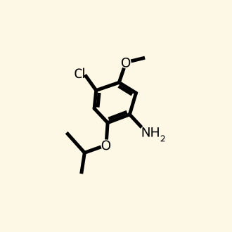 COc1cc(N)c(OC(C)C)cc1Cl